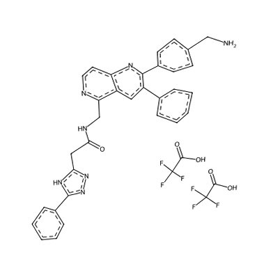 NCc1ccc(-c2nc3ccnc(CNC(=O)Cc4nnc(-c5ccccc5)[nH]4)c3cc2-c2ccccc2)cc1.O=C(O)C(F)(F)F.O=C(O)C(F)(F)F